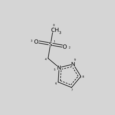 CS(=O)(=O)Cn1cc[c]n1